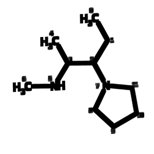 CCC(C(C)NC)N1CCCC1